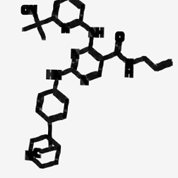 C=CCNC(=O)c1cnc(Nc2ccc(C3CN4CCC3CC4)cc2)nc1Nc1cccc(C(C)(C)N=O)n1